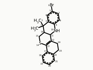 CC1(C)c2cc(Br)ccc2NC2C3=C(SCC21)c1ccccc1CC3